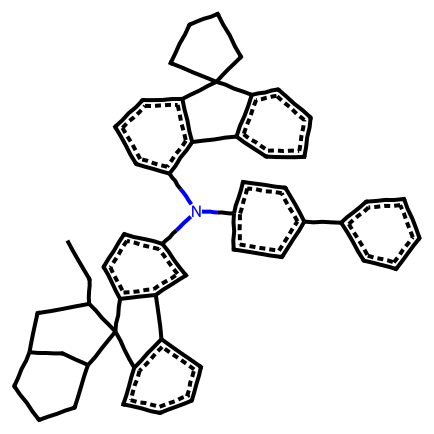 CCC1CC2CCCC(C2)C12c1ccccc1-c1cc(N(c3ccc(-c4ccccc4)cc3)c3cccc4c3-c3ccccc3C43CCCC3)ccc12